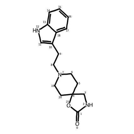 O=C1NCC2(CCN(CCc3c[nH]c4ccccc34)CC2)O1